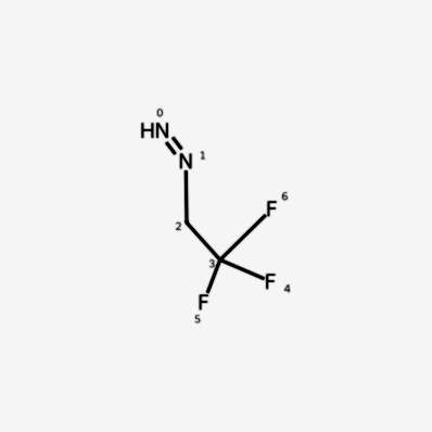 N=NCC(F)(F)F